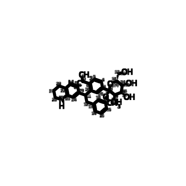 CO[C@@]1(c2ccc(C(C)C)c(C(Cc3ccccc3)c3ccc4c(c3)NCCC4)c2)O[C@H](CO)[C@@H](O)[C@H](O)[C@H]1O